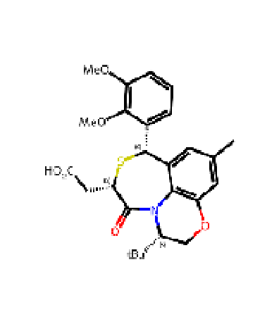 COc1cccc([C@H]2S[C@@H](CC(=O)O)C(=O)N3c4c(cc(C)cc42)OC[C@@H]3C(C)(C)C)c1OC